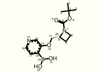 CC(C)(C)OC(=O)N1CC[C@@H]1COc1cnccc1B(O)O